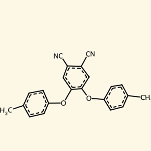 Cc1ccc(Oc2cc(C#N)c(C#N)cc2Oc2ccc(C)cc2)cc1